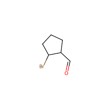 O=CC1CCCC1Br